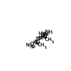 Cc1cc(N2CCN(C[C@H]3CN(c4ccc(C#N)c5ncccc45)C[C@@H](C)O3)CC2)nc(N[C@@H]2CNC[C@@H]2F)n1